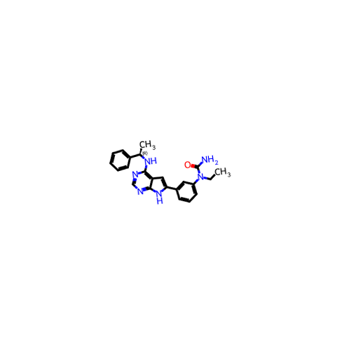 CCN(C(N)=O)c1cccc(-c2cc3c(N[C@H](C)c4ccccc4)ncnc3[nH]2)c1